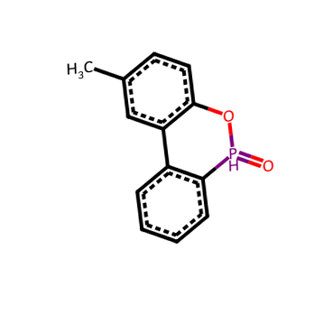 Cc1ccc2c(c1)-c1ccccc1[PH](=O)O2